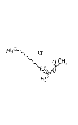 C=CC(=O)OCC[N+](CC)(CC)CCCCCCCCCCCCCCCC.[Cl-]